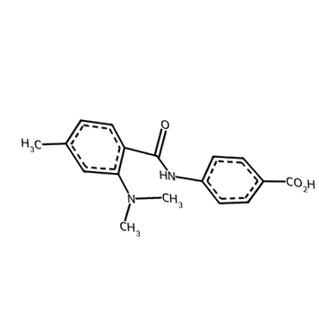 Cc1ccc(C(=O)Nc2ccc(C(=O)O)cc2)c(N(C)C)c1